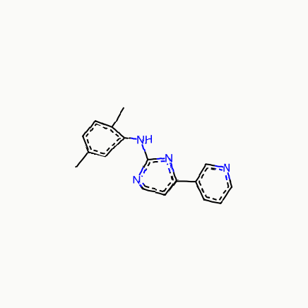 Cc1ccc(C)c(Nc2nccc(-c3cccnc3)n2)c1